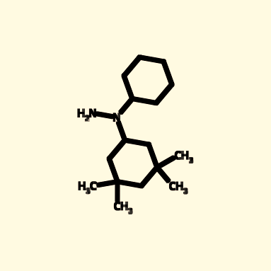 CC1(C)CC(N(N)C2CCCCC2)CC(C)(C)C1